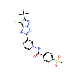 CC(C)(C)c1nn2nc(-c3cccc(NC(=O)c4ccc(S(C)(=O)=O)cc4)c3)[nH]c2c1Cl